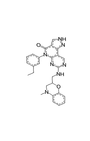 CCc1cccc(-n2c(=O)c3c[nH]nc3c3cnc(NCC4CN(C)c5ccccc5O4)nc32)c1